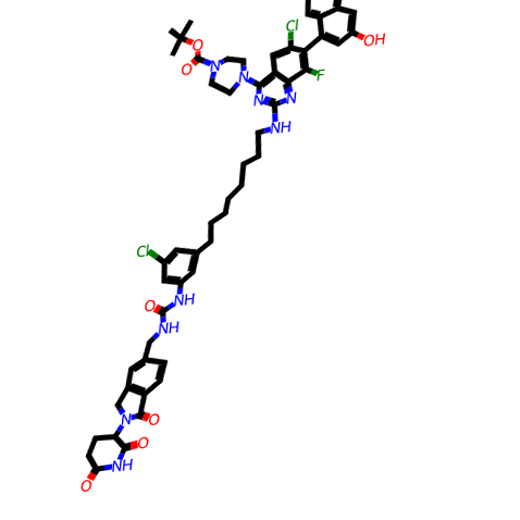 CC(C)(C)OC(=O)N1CCN(c2nc(NCCCCCCCCc3cc(Cl)cc(NC(=O)NCc4ccc5c(c4)CN(C4CCC(=O)NC4=O)C5=O)c3)nc3c(F)c(-c4cc(O)cc5ccccc45)c(Cl)cc23)CC1